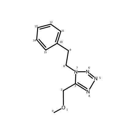 COCc1nnnn1CCc1ccccc1